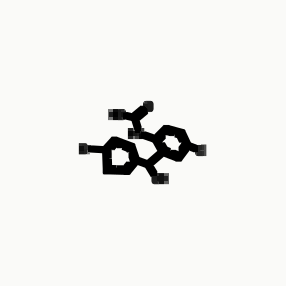 O=C(O)Nc1ccc(Cl)cc1C(O)c1ccc(Br)cc1